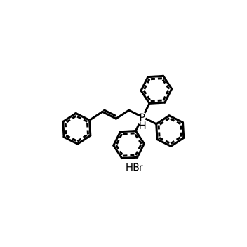 Br.C(=Cc1ccccc1)C[PH](c1ccccc1)(c1ccccc1)c1ccccc1